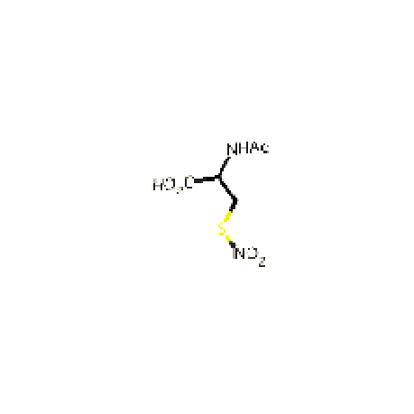 CC(=O)NC(CS[N+](=O)[O-])C(=O)O